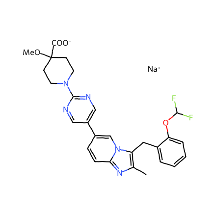 COC1(C(=O)[O-])CCN(c2ncc(-c3ccc4nc(C)c(Cc5ccccc5OC(F)F)n4c3)cn2)CC1.[Na+]